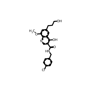 COc1cc(CCCO)cc2c(O)c(C(=O)NCc3ccc(Cl)cc3)cnc12